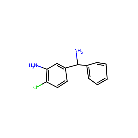 Nc1cc(C(N)c2cc[c]cc2)ccc1Cl